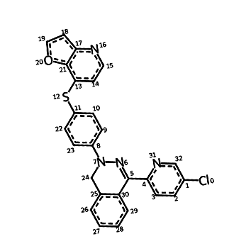 Clc1ccc(C2=NN(c3ccc(Sc4ccnc5ccoc45)cc3)Cc3ccccc32)nc1